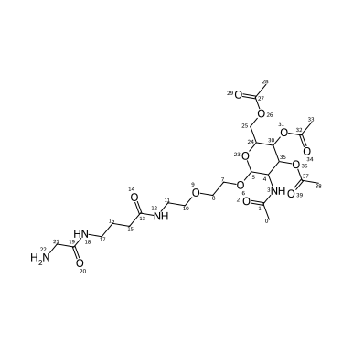 CC(=O)NC1C(OCCOCCNC(=O)CCCNC(=O)CN)OC(COC(C)=O)C(OC(C)=O)C1OC(C)=O